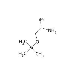 CC(C)[C@H](N)CO[Si](C)(C)C